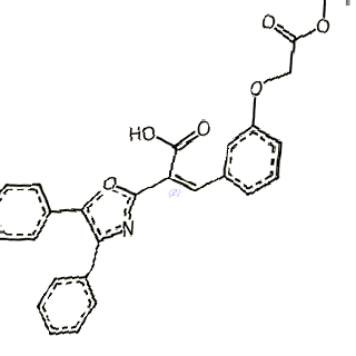 COC(=O)COc1cccc(/C=C(\C(=O)O)c2nc(-c3ccccc3)c(-c3ccccc3)o2)c1